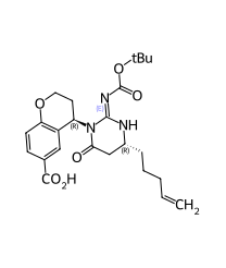 C=CCCC[C@@H]1CC(=O)N([C@@H]2CCOc3ccc(C(=O)O)cc32)/C(=N/C(=O)OC(C)(C)C)N1